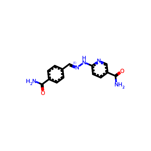 NC(=O)c1ccc(/C=N/Nc2ccc(C(N)=O)cn2)cc1